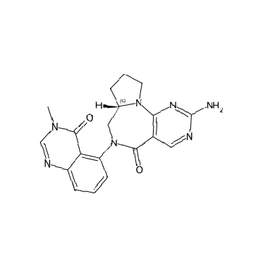 Cn1cnc2cccc(N3C[C@@H]4CCCN4c4nc(N)ncc4C3=O)c2c1=O